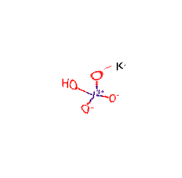 [K].[O-][I+3]([O-])([O-])O